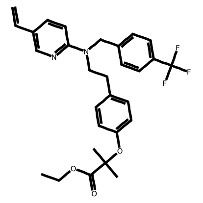 C=Cc1ccc(N(CCc2ccc(OC(C)(C)C(=O)OCC)cc2)Cc2ccc(C(F)(F)F)cc2)nc1